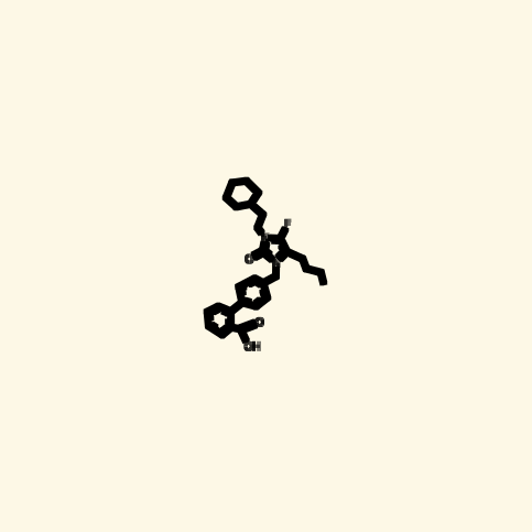 CCCCc1c(F)n(CCC2CCCCC2)c(=O)n1Cc1ccc(-c2ccccc2C(=O)O)cc1